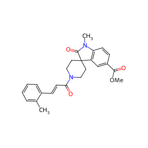 COC(=O)c1ccc2c(c1)C1(CCN(C(=O)/C=C/c3ccccc3C)CC1)C(=O)N2C